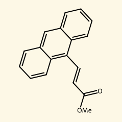 COC(=O)C=Cc1c2ccccc2cc2ccccc12